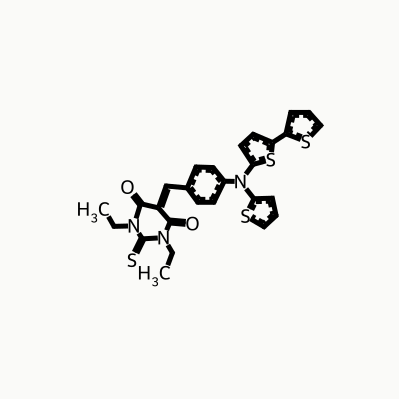 CCN1C(=O)C(=Cc2ccc(N(c3cccs3)c3ccc(-c4cccs4)s3)cc2)C(=O)N(CC)C1=S